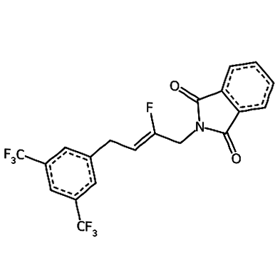 O=C1c2ccccc2C(=O)N1CC(F)=CCc1cc(C(F)(F)F)cc(C(F)(F)F)c1